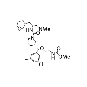 CNC[C@H](C[C@@H]1CCCOC1)NC(=O)N1CCC[C@@H](C(OCCNC(=O)OC)c2cc(F)cc(Cl)c2)C1